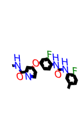 CNC(=O)c1cc(Oc2ccc(NC(=O)Nc3cc(C)ccc3F)c(F)c2)ccn1